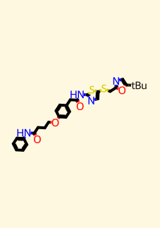 CC(C)(C)c1cnc(CSc2cnc(NC(=O)Cc3ccc(OCCCC(=O)Nc4ccccc4)cc3)s2)o1